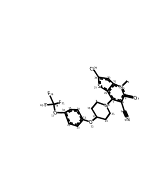 Cn1c(=O)c(C#N)c(N2CCC(Oc3ccc(OC(F)(F)F)cc3)CC2)c2sc(Cl)cc21